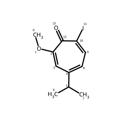 COc1cc(C(C)C)ccc(I)c1=O